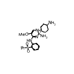 COC1=CNC(N)([C@H]2CC[C@H](N)CC2)N=C1Nc1ccccc1S(=O)(=O)C(C)C